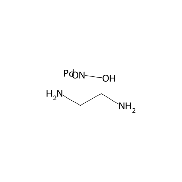 NCCN.O=NO.[Pd]